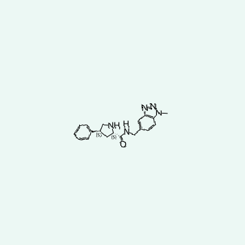 Cn1nnc2cc(CNC(=O)[C@@H]3C[C@@H](c4ccccc4)CN3)ccc21